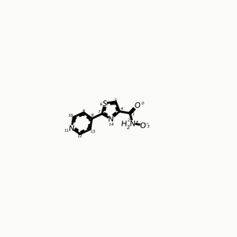 O=C([NH2+][O-])c1csc(-c2ccncc2)n1